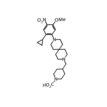 COc1cc(N2CCC3(CCN(CC4CCN(C(=O)O)CC4)CC3)CC2)c(C2CC2)cc1[N+](=O)[O-]